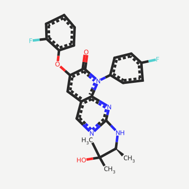 C[C@H](Nc1ncc2cc(Oc3ccccc3F)c(=O)n(-c3ccc(F)cc3)c2n1)C(C)(C)O